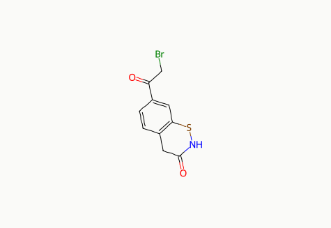 O=C1Cc2ccc(C(=O)CBr)cc2SN1